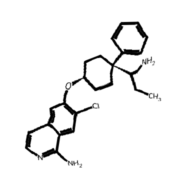 CCC(N)[C@]1(c2ccccc2)CC[C@H](Oc2cc3ccnc(N)c3cc2Cl)CC1